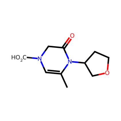 CC1=CN(C(=O)O)CC(=O)N1C1CCOC1